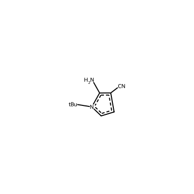 CC(C)(C)n1ccc(C#N)c1N